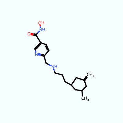 C=C1CC(C)CC(CCCNCc2ccc(C(=O)NO)cn2)C1